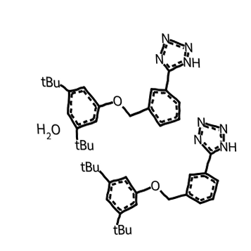 CC(C)(C)c1cc(OCc2cccc(-c3nnn[nH]3)c2)cc(C(C)(C)C)c1.CC(C)(C)c1cc(OCc2cccc(-c3nnn[nH]3)c2)cc(C(C)(C)C)c1.O